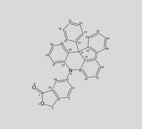 O=C1OCc2ccc(N3c4ccccc4C(c4ccccc4)(c4ccccc4)c4ccccc43)cc21